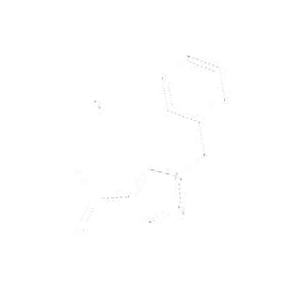 O=S([O-])c1cnn(Cc2ccccc2)c1.[Na+]